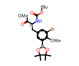 COC(=O)[C@H](Cc1cc(Br)c(OC)c(B2OC(C)(C)C(C)(C)O2)c1)NC(=O)OC(C)(C)C